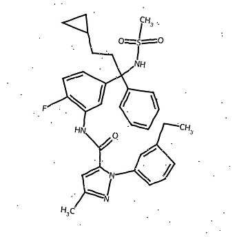 CCc1cccc(-n2nc(C)cc2C(=O)Nc2cc(C(CCC3CC3)(NS(C)(=O)=O)c3ccccc3)ccc2F)c1